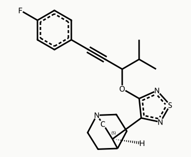 CC(C)C(C#Cc1ccc(F)cc1)Oc1nsnc1[C@@H]1CN2CCC1CC2